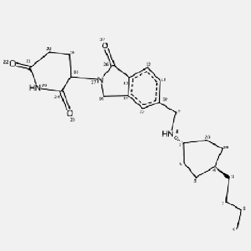 CCCC[C@H]1CC[C@H](NCc2ccc3c(c2)CN(C2CCC(=O)NC2=O)C3=O)CC1